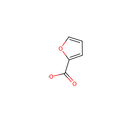 [O]C(=O)c1ccco1